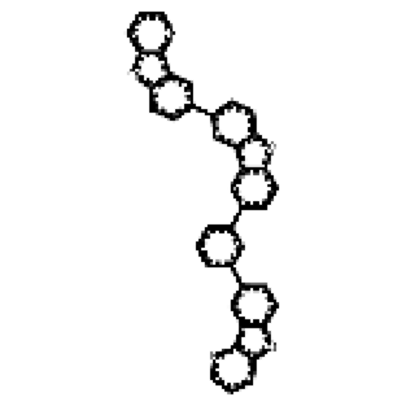 c1cc(-c2ccc3oc4ccc(-c5ccc6oc7cccnc7c6c5)cc4c3c2)cc(-c2ccc3oc4cccnc4c3c2)c1